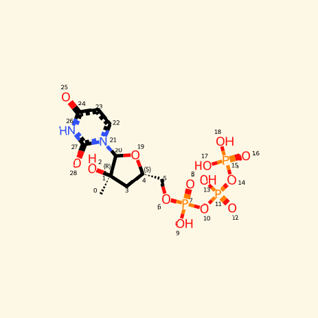 C[C@@]1(O)C[C@@H](COP(=O)(O)OP(=O)(O)OP(=O)(O)O)OC1n1ccc(=O)[nH]c1=O